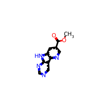 COC(=O)c1cnc2c(c1)[nH]c1ncncc12